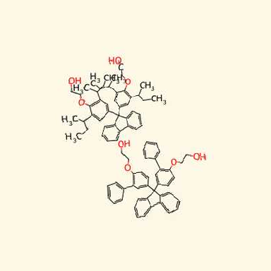 CCC(C)c1cc(C2(c3cc(C(C)CC)c(OCCO)c(C(C)CC)c3)c3ccccc3-c3ccccc32)cc(C(C)CC)c1OCCO.OCCOc1ccc(C2(c3ccc(OCCO)c(-c4ccccc4)c3)c3ccccc3-c3ccccc32)cc1-c1ccccc1